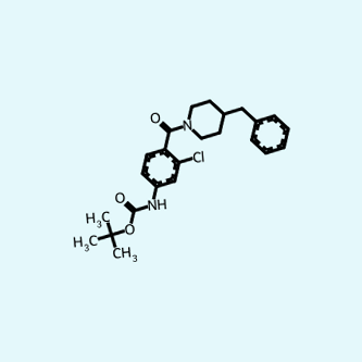 CC(C)(C)OC(=O)Nc1ccc(C(=O)N2CCC(Cc3ccccc3)CC2)c(Cl)c1